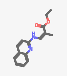 CCOC(=O)C(C)=CNc1ccc2ccccc2n1